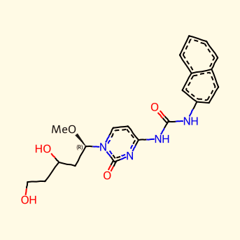 CO[C@H](CC(O)CCO)n1ccc(NC(=O)Nc2ccc3ccccc3c2)nc1=O